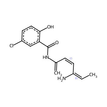 C=C(/C=C\C(N)=C/C)NC(=O)c1cc(Cl)ccc1O